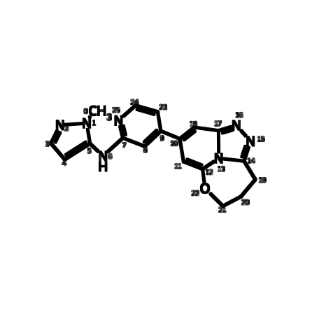 Cn1nccc1Nc1cc(-c2cc3n4c(nnc4c2)CCCO3)ccn1